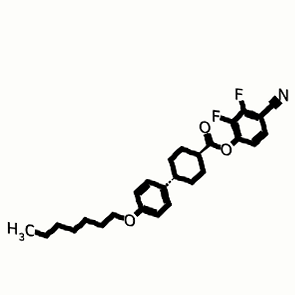 CCCCCCCOc1ccc([C@H]2CC[C@H](C(=O)Oc3ccc(C#N)c(F)c3F)CC2)cc1